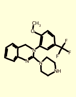 COc1ccc(C(F)(F)F)cc1N1Cc2ccccc2N=C1N1CCNCC1